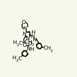 Cc1ccc(NC(=O)OC(C)(C)Cc2nc(N/N=C/c3cccc(C)c3)cc(N3CCOCC3)n2)cc1